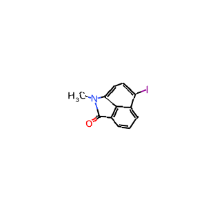 CN1C(=O)c2cccc3c(I)ccc1c23